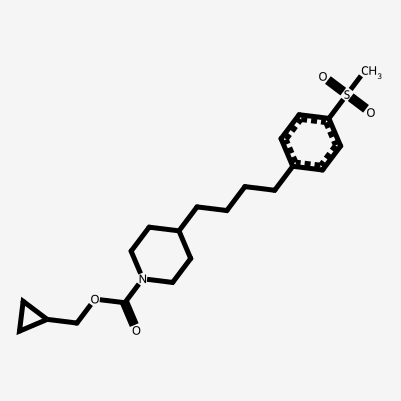 CS(=O)(=O)c1ccc(CCCCC2CCN(C(=O)OCC3CC3)CC2)cc1